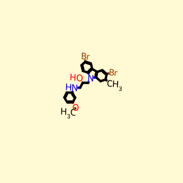 COc1cccc(NC[C@H](O)Cn2c3c(c4cc(Br)ccc42)C=C(Br)C(C)C3)c1